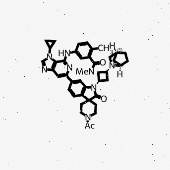 CNC(=O)c1cc(Nc2nc(-c3ccc4c(c3)N([C@H]3C[C@@H](N5C[C@H]6CC[C@@H]5C6)C3)C(=O)C43CCN(C(C)=O)CC3)cc3ncn(C4CC4)c23)ccc1C